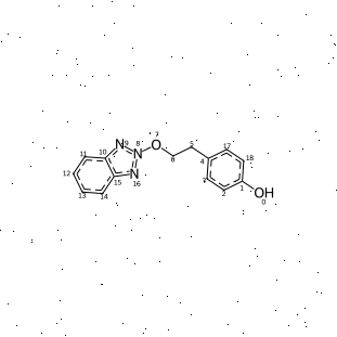 Oc1ccc(CCOn2nc3ccccc3n2)cc1